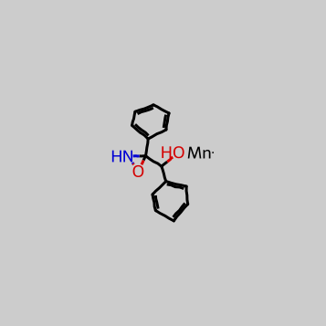 OC(c1ccccc1)C1(c2ccccc2)NO1.[Mn]